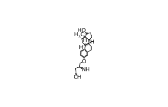 C#CCC(=N)COc1ccc2c(c1)CC[C@@H]1[C@@H]2CC[C@]2(C)[C@@H](O)CC[C@@H]12